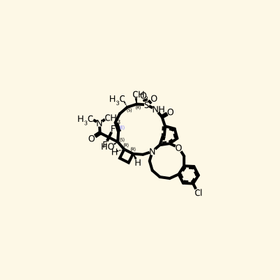 C[C@@H]1[C@@H](C)C/C=C/[C@](O)(C(F)(F)C(=O)N(C)C)[C@@H]2CC[C@H]2CN2CCCCc3cc(Cl)ccc3COc3ccc(cc32)C(=O)NS1(=O)=O